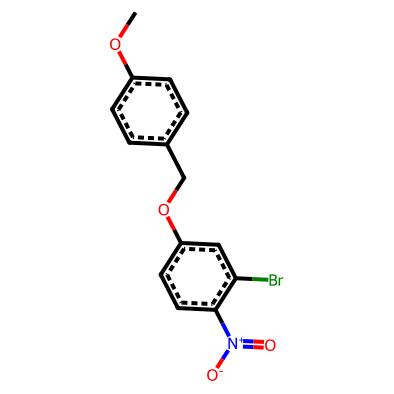 COc1ccc(COc2ccc([N+](=O)[O-])c(Br)c2)cc1